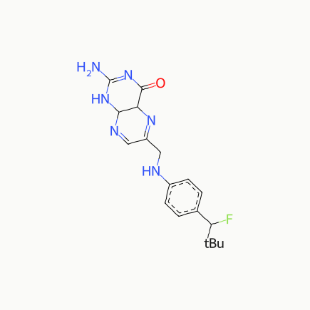 CC(C)(C)C(F)c1ccc(NCC2=NC3C(=O)N=C(N)NC3N=C2)cc1